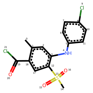 Cc1cc(Nc2ccc(Cl)cc2)c(S(C)(=O)=O)cc1C(=O)Cl